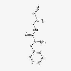 NC(Cc1ccccc1)C(=O)NCC(=O)N=O